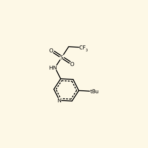 CC(C)(C)c1cncc(NS(=O)(=O)CC(F)(F)F)c1